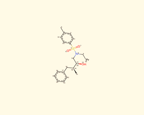 Cc1ccc(S(=O)(=O)N(CC(C)C)C[C@@H](O)[C@@H](C)Cc2ccccc2)cc1